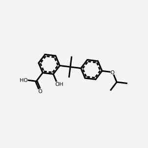 CC(C)Oc1ccc(C(C)(C)c2cccc(C(=O)O)c2O)cc1